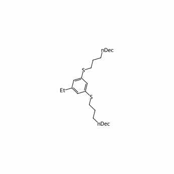 CCCCCCCCCCCCCSc1cc(CC)cc(SCCCCCCCCCCCCC)c1